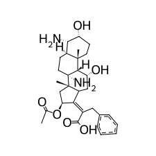 CC(=O)O[C@H]1C[C@@]2(C)C(C[C@@H](O)[C@H]3[C@@]4(C)CC[C@@H](O)[C@@H](N)[C@@H]4CC[C@@]32N)/C1=C(\Cc1ccccc1)C(=O)O